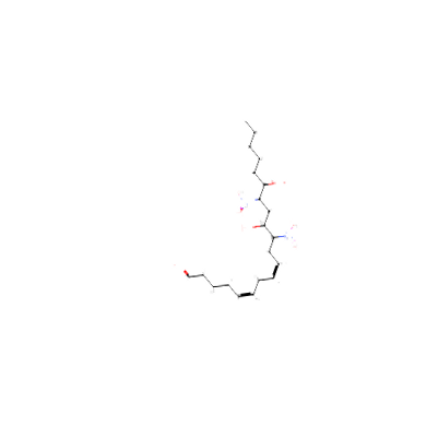 CCCCCC(O)C(CC(O)C(C/C=C\C/C=C\CCC[C]=O)[N+](=O)[O-])[N+](=O)[O-]